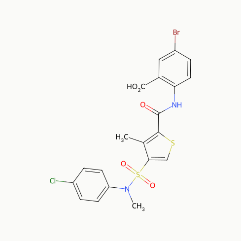 Cc1c(S(=O)(=O)N(C)c2ccc(Cl)cc2)csc1C(=O)Nc1ccc(Br)cc1C(=O)O